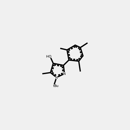 Cc1cc(C)c(-c2nn(C(C)(C)C)c(C)c2O)c(C)c1